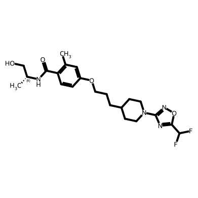 Cc1cc(OCCCC2CCN(c3noc(C(F)F)n3)CC2)ccc1C(=O)N[C@H](C)CO